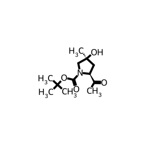 CC(=O)[C@@H]1C[C@](C)(O)CN1C(=O)OC(C)(C)C